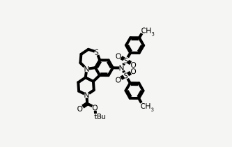 Cc1ccc(S(=O)(=O)N(c2cc3c4c(c2)C2CN(C(=O)OC(C)(C)C)CCC2N4CCCS3)S(=O)(=O)c2ccc(C)cc2)cc1